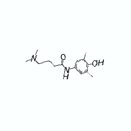 Cc1cc(NC(=O)CCCN(C)C)cc(C)c1O